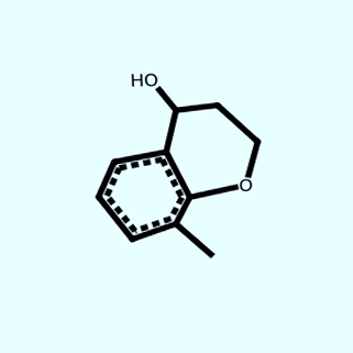 Cc1cccc2c1OCCC2O